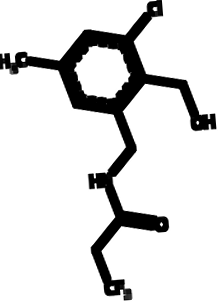 Cc1cc(Cl)c(CO)c(CNC(=O)CC(F)(F)F)c1